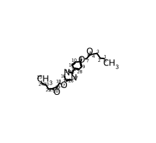 CCCCC1OC1COc1ccc(-c2ncc(OCC3OC3CCCC)cn2)cc1